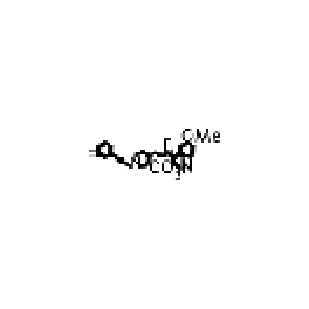 COc1ccc2nccc([C@H](F)CC[C@@H]3CCN(CC#Cc4cccc(F)c4)C[C@@H]3C(=O)O)c2c1